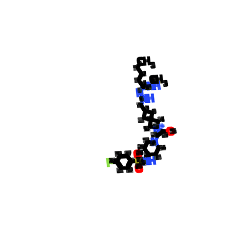 CCCC/C(=N/NCC1CC2(C1)C[N+]1(C2)C(=O)C1N1CCC(NS(=O)(=O)c2ccc(F)cc2)CC1)NC